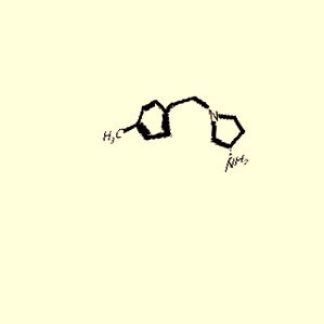 Cc1ccc(CN2CC[C@H](N)C2)cc1